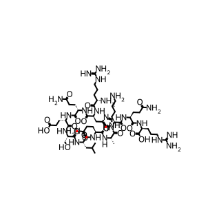 CC(C)C[C@H](NC(=O)[C@H](CO)NC(=O)[C@H](CCC(=O)O)NC(=O)[C@H](CCC(N)=O)NC(=O)[C@H](Cc1c[nH]cn1)NC(=O)[C@@H](N)CCCNC(=N)N)C(=O)N[C@@H](CCC(N)=O)C(=O)N[C@@H](C)C(=O)N[C@@H](CCCCN)C(=O)N[C@@H](CCC(N)=O)C(=O)N[C@@H](CCCNC(=N)N)C(=O)O